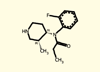 CCC(=O)N(c1ccccc1F)[C@H]1CCNC[C@H]1C